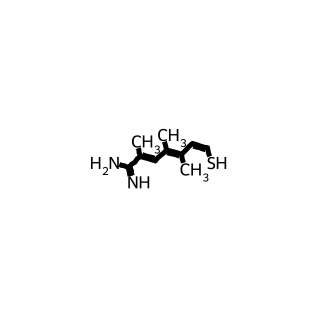 C\C(=C/C(C)=C(C)/C=C\S)C(=N)N